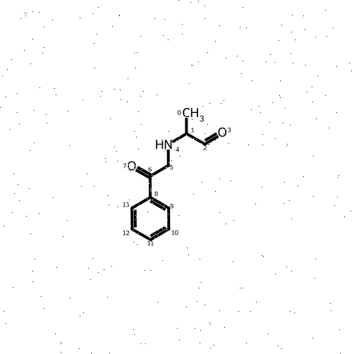 CC([C]=O)NCC(=O)c1ccccc1